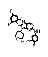 Cc1cc(Nc2ncc3nc(Nc4c(F)cc(F)cc4F)n(C4CCOCC4)c3n2)ccc1F